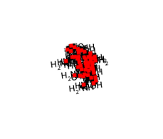 N=C(N)NCCC[C@H](NC(=O)[C@H](CS)NC(=O)[C@H](CCCNC(N)=O)NC(=O)[C@H](CCCNC(=N)N)NC(=O)[C@H](Cc1ccc(O)cc1)NC(=O)[C@@H]1CCCN1C(=O)[C@@H](CCCCN)NC(=O)[C@H](CCCCN)NC(=O)[C@H](CCCNC(=N)N)NC(=O)[C@H](Cc1ccc(O)cc1)NC(=O)[C@H](CS)NC(=O)[C@H](Cc1ccc2ccccc2c1)NC(=O)[C@H](CCC(=O)O)NC(=O)[C@@H](N)CCCNC(=N)N)C(=O)O